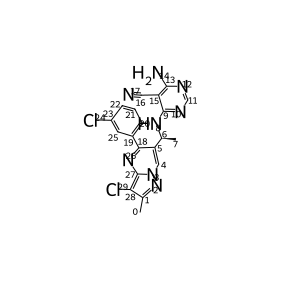 Cc1nn2cc([C@H](C)Nc3ncnc(N)c3C#N)c(-c3cccc(Cl)c3)nc2c1Cl